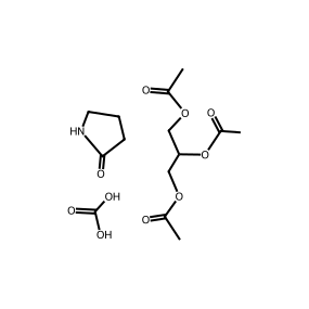 CC(=O)OCC(COC(C)=O)OC(C)=O.O=C(O)O.O=C1CCCN1